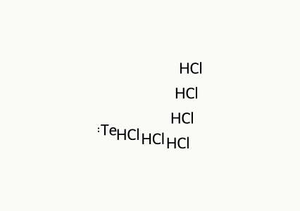 Cl.Cl.Cl.Cl.Cl.Cl.[Te]